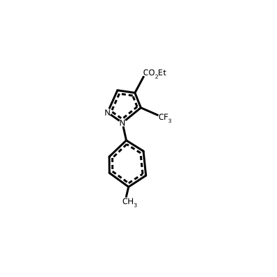 CCOC(=O)c1cnn(-c2ccc(C)cc2)c1C(F)(F)F